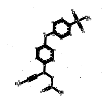 CC#CC(CS(=O)O)c1ccc(Oc2ccc(S(C)(=O)=O)cc2)cc1